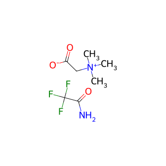 C[N+](C)(C)CC(=O)[O-].NC(=O)C(F)(F)F